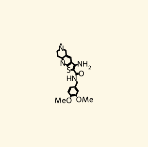 COc1ccc(CNC(=O)c2sc3nc4c(cc3c2N)CN(C)CC4)cc1OC